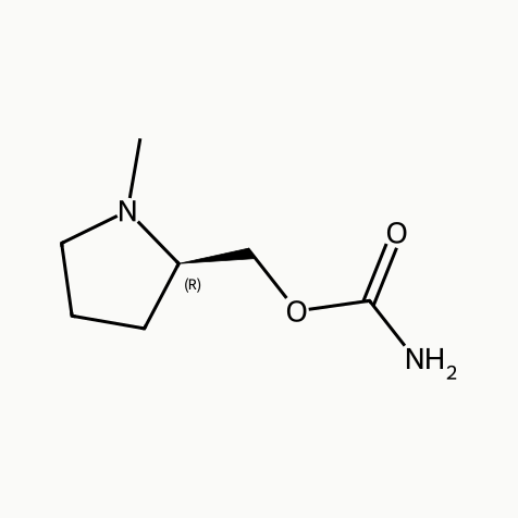 CN1CCC[C@@H]1COC(N)=O